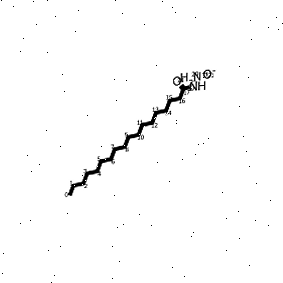 CCCCCCCCCCCCCCCCCC(=O)N[NH2+][O-]